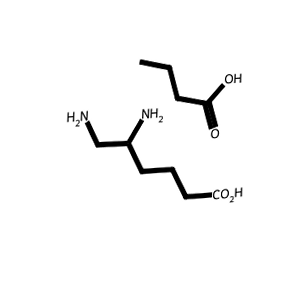 CCCC(=O)O.NCC(N)CCCC(=O)O